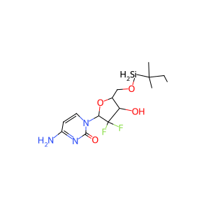 CCC(C)(C)[SiH2]OCC1OC(n2ccc(N)nc2=O)C(F)(F)C1O